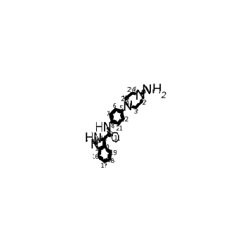 NN1CCN(c2ccc(NC(=O)c3[nH]nc4ccccc34)cc2)CC1